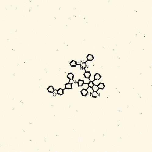 c1ccc(-c2nc(-c3ccccc3)nc(-c3ccc(-c4c(-c5ccc(-n6c7ccccc7c7cc(-c8ccc9oc%10ccccc%10c9c8)ccc76)cc5)c(-c5ccccc5)c5c6nccnc6c6ccccc6c5c4-c4ccccc4)cc3)n2)cc1